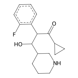 O=C(C1CC1)C(c1ccccc1F)C(O)C1CCCNC1